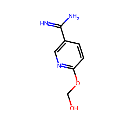 N=C(N)c1ccc(OCO)nc1